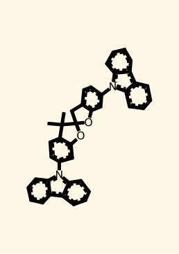 CC1(C)c2ccc(-n3c4ccccc4c4ccccc43)cc2OC12Cc1ccc(-n3c4ccccc4c4ccccc43)cc1O2